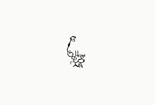 COc1ccc2ncc(C)c([C@H](F)CCC3(C(=O)NO)CCN(CC#Cc4cccs4)CC3)c2c1